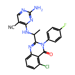 CC(Nc1nc(N)ncc1C#N)c1nc2cccc(Cl)c2c(=O)n1-c1ccc(F)cc1